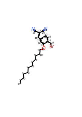 CCCCCCCCCCCCOc1cc(C=C(C#N)C#N)ccc1CBr